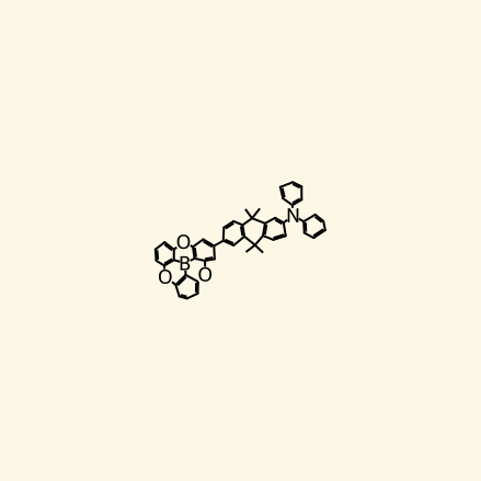 CC1(C)c2ccc(N(c3ccccc3)c3ccccc3)cc2C(C)(C)c2ccc(-c3cc4c5c(c3)Oc3cccc6c3B5c3c(cccc3O4)O6)cc21